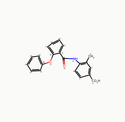 Cc1cc(C(=O)O)ccc1NC(=O)c1ccccc1Oc1ccccc1